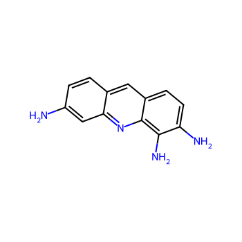 Nc1ccc2cc3ccc(N)c(N)c3nc2c1